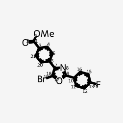 COC(=O)c1ccc(-c2nc(-c3ccc(F)cc3)oc2Br)cc1